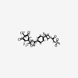 CS(=O)(=O)CC(=O)N1CC(F)(c2ccc(C3=NOC(c4cc(Cl)c(Cl)c(Cl)c4)(C(F)(F)F)C3)cc2)C1